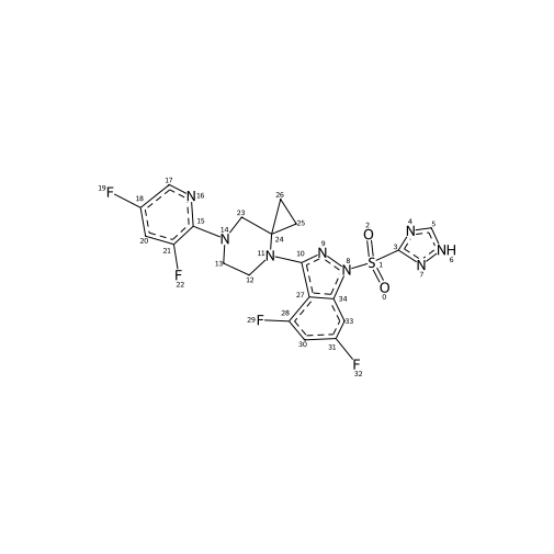 O=S(=O)(c1nc[nH]n1)n1nc(N2CCN(c3ncc(F)cc3F)CC23CC3)c2c(F)cc(F)cc21